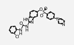 O=C(Nc1nc2cc(OS(=O)(=O)c3ccc(-n4ccnc4)cc3)ccc2[nH]1)Nc1ccccc1Cl